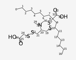 CCCCCCCCC(CCCCCCCC)(SSCC(CSSCC(=O)O)N(C)C)C(=O)O